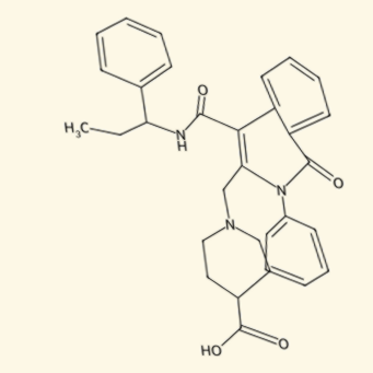 CCC(NC(=O)c1c(CN2CCC(C(=O)O)CC2)n(-c2ccccc2)c(=O)c2ccccc12)c1ccccc1